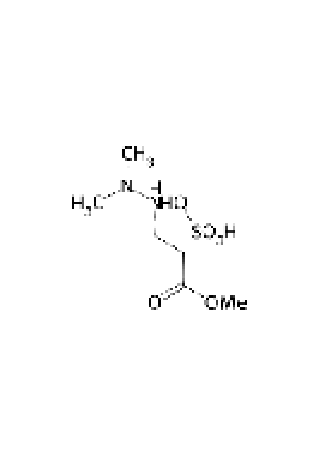 COC(=O)CCNN(C)C.O=S(=O)(O)O